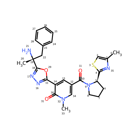 Cc1csc([C@H]2CCCN2C(=O)c2cc(-c3nnc([C@](C)(N)Cc4ccccc4)o3)c(=O)n(C)c2)n1